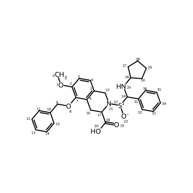 COc1ccc2c(c1OCc1ccccc1)CC(C(=O)O)N([S+]([O-])C(NC1CCCC1)c1ccccc1)C2